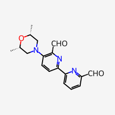 C[C@@H]1CN(c2ccc(-c3cccc(C=O)n3)nc2C=O)C[C@H](C)O1